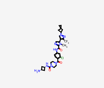 Cn1c(-c2cn(C3CC4(CC4)C3)nc2C(F)(F)F)cnc1C(=O)Nc1ccc(C(=O)N2CCN(C(=O)N[C@H]3C[C@@H](N)C3)CC2)c(Cl)c1